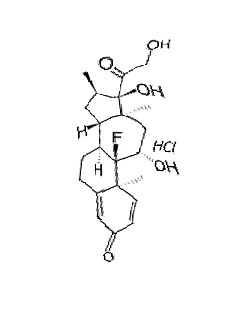 C[C@@H]1C[C@H]2[C@@H]3CCC4=CC(=O)C=C[C@]4(C)[C@@]3(F)[C@@H](O)C[C@]2(C)[C@@]1(O)C(=O)CO.Cl